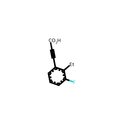 CCc1c(F)cccc1C#CC(=O)O